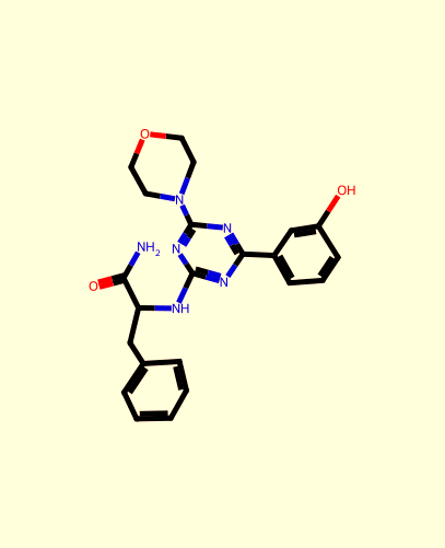 NC(=O)C(Cc1ccccc1)Nc1nc(-c2cccc(O)c2)nc(N2CCOCC2)n1